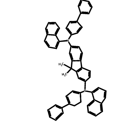 CC1(C)c2cc(N(C3=CC=C(c4ccccc4)CC3)c3cccc4ccccc34)ccc2-c2ccc(N(c3ccc(-c4ccccc4)cc3)c3cccc4ccccc34)cc21